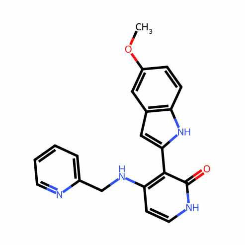 COc1ccc2[nH]c(-c3c(NCc4ccccn4)cc[nH]c3=O)cc2c1